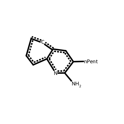 CCCCCc1cc2ccccc2nc1N